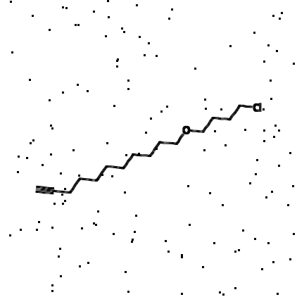 C#CCCCCCCCCCOCCCCCl